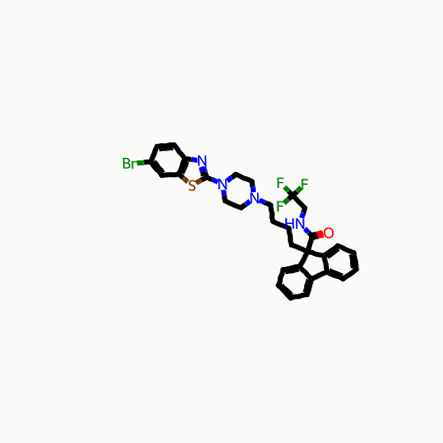 O=C(NCC(F)(F)F)C1(CCCCN2CCN(c3nc4ccc(Br)cc4s3)CC2)c2ccccc2-c2ccccc21